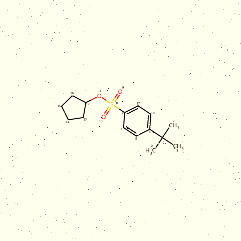 CC(C)(C)c1ccc(S(=O)(=O)OC2CCCC2)cc1